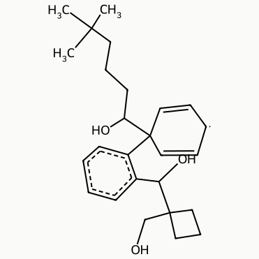 CC(C)(C)CCCC(O)C1(c2ccccc2C(O)C2(CO)CCC2)C=C[CH]C=C1